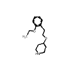 CCOc1ccccc1CCOC1CCNCC1